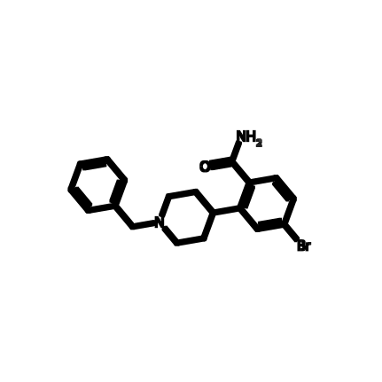 NC(=O)c1ccc(Br)cc1C1CCN(Cc2ccccc2)CC1